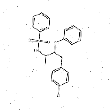 CC(NS(=O)(=O)c1ccccc1)C(Cc1ccc(Cl)cc1)Oc1ccccc1